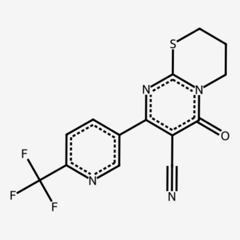 N#Cc1c(-c2ccc(C(F)(F)F)nc2)nc2n(c1=O)CCCS2